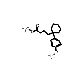 COC(=O)CCCC1(c2ccc(OC)cc2)CCCCC1